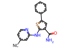 N#Cc1ccnc(Nc2sc(-c3ccccc3)cc2C(N)=O)c1